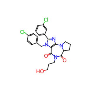 O=C1c2c(nc(-c3cccc(Cl)c3)n2Cc2ccc(Cl)cc2)N2CCCC2C(=O)N1CCCO